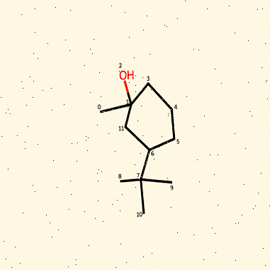 CC1(O)CCCC(C(C)(C)C)C1